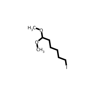 COC(CCCCCI)OC